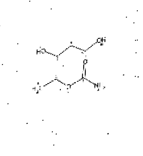 CCOC(N)=O.OCCCO